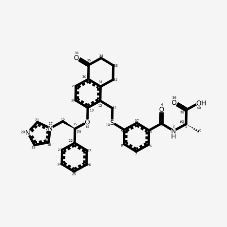 C[C@H](NC(=O)c1cccc(SCc2c(O[C@H](Cn3ccnc3)c3ccccc3)ccc3c2CCCC3=O)c1)C(=O)O